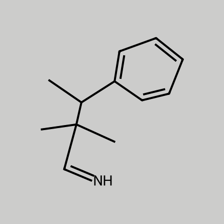 CC(c1ccccc1)C(C)(C)C=N